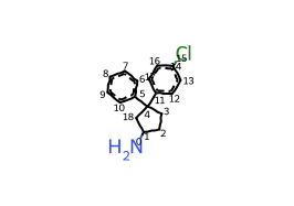 NC1CCC(c2ccccc2)(c2ccc(Cl)cc2)C1